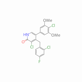 COc1cc(-c2c[nH]c(=O)c(Cl)c2Cc2ccc(F)cc2Cl)cc(OC)c1Cl